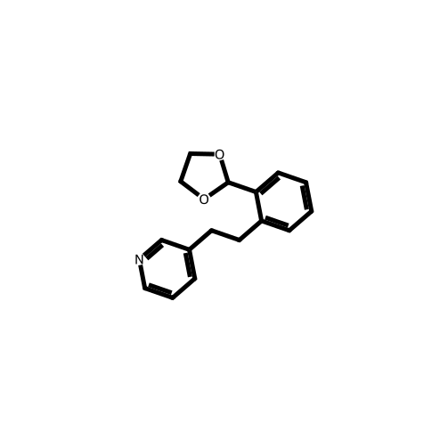 c1cncc(CCc2ccccc2C2OCCO2)c1